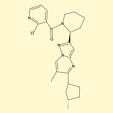 Cc1cn2nc([C@@H]3CCCCN3C(=O)c3cccnc3Cl)cc2nc1C1CC[C@H](C)C1